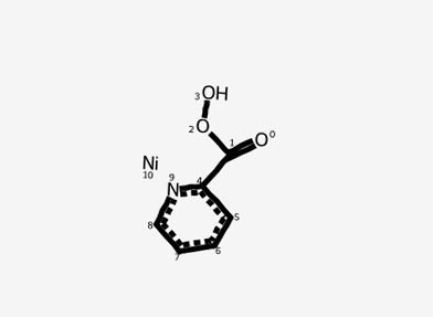 O=C(OO)c1ccccn1.[Ni]